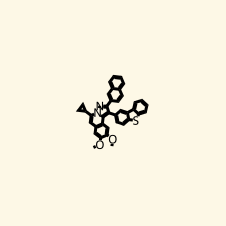 COc1cc2cc(C3CC3)n3nc(-c4ccc5ccccc5c4)c(-c4ccc5sc6ccccc6c5c4)c3c2cc1OC